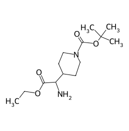 CCOC(=O)C(N)C1CCN(C(=O)OC(C)(C)C)CC1